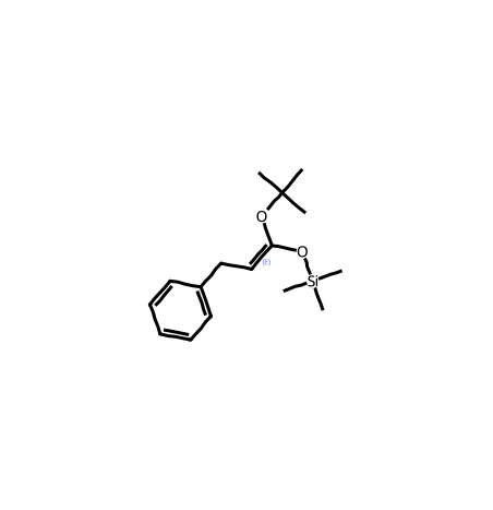 CC(C)(C)O/C(=C\Cc1ccccc1)O[Si](C)(C)C